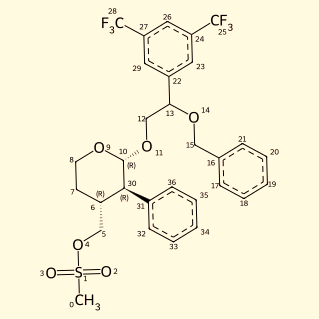 CS(=O)(=O)OC[C@@H]1CCO[C@H](OCC(OCc2ccccc2)c2cc(C(F)(F)F)cc(C(F)(F)F)c2)[C@H]1c1ccccc1